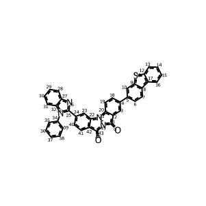 O=c1c2cc(-c3ccc4c(c3)sc3ccccc34)ccc2n2c3cc(-c4nc5ccccc5n4-c4ccccc4)ccc3c(=O)n12